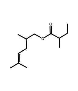 CCC(C)C(=O)OCC(C)CC=C(C)C